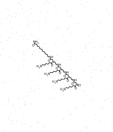 CCN(CC(=O)NCCN(CC(=O)NCCN(CC(=O)NCCN(CC(=O)NCCCCCCCCCCC(N)=O)C(=O)CCCCCN)C(=O)CCCCCN)C(=O)CCCCCN)C(=O)CCCCCN